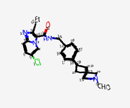 CCc1nc2ccc(Cl)cn2c1C(=O)NCc1ccc(C2CC3(C2)CN(C=O)C3)cc1